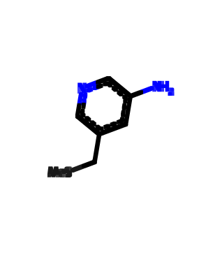 CSCc1cncc(N)c1